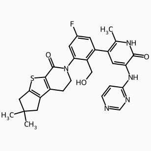 Cc1[nH]c(=O)c(Nc2ccncn2)cc1-c1cc(F)cc(N2CCc3c(sc4c3CC(C)(C)C4)C2=O)c1CO